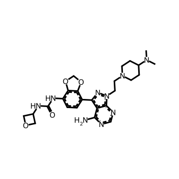 CN(C)C1CCN(CCn2nc(-c3ccc(NC(=O)NC4COC4)c4c3OCO4)c3c(N)ncnc32)CC1